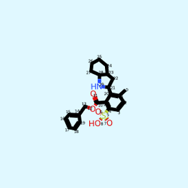 Cc1ccc(S(=O)(=O)O)c(C(=O)OCc2ccccc2)c1C1CC2CCCCC2N1